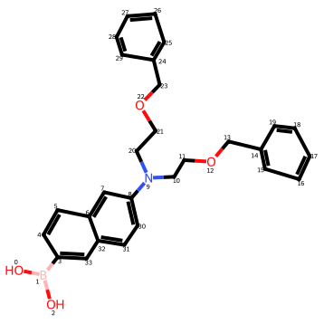 OB(O)c1ccc2cc(N(CCOCc3ccccc3)CCOCc3ccccc3)ccc2c1